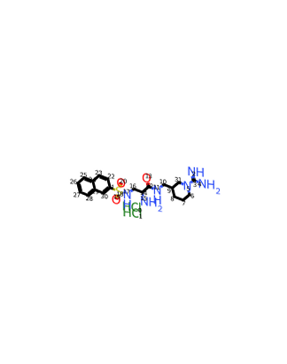 Cl.Cl.N=C(N)N1CCCC(CNC(=O)[C@@H](N)CNS(=O)(=O)c2ccc3ccccc3c2)C1